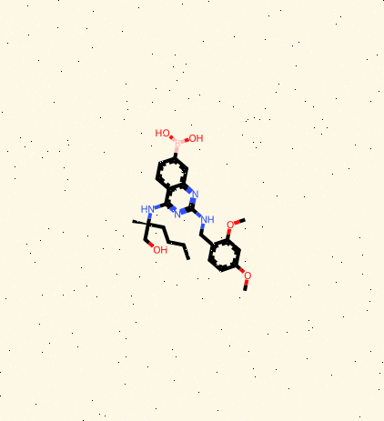 CCCC[C@](C)(CO)Nc1nc(NCc2ccc(OC)cc2OC)nc2cc(B(O)O)ccc12